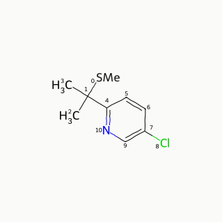 CSC(C)(C)c1ccc(Cl)cn1